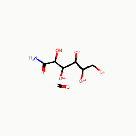 C=O.NC(=O)C(O)C(O)C(O)C(O)CO